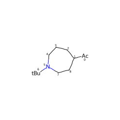 CC(=O)C1CCCN(C(C)(C)C)CC1